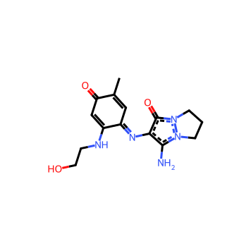 CC1=CC(=Nc2c(N)n3n(c2=O)CCC3)C(NCCO)=CC1=O